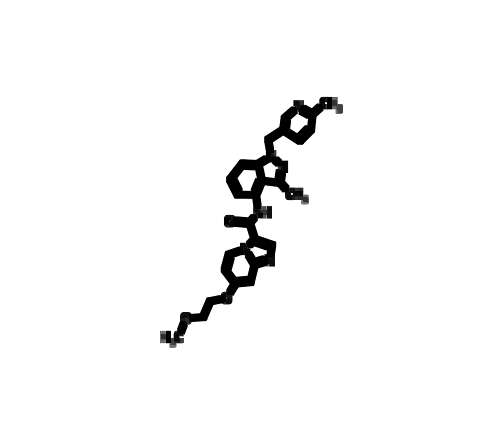 COCCOc1ccn2c(C(=O)Nc3cccc4c3c(C)nn4Cc3ccc(C)nc3)cnc2c1